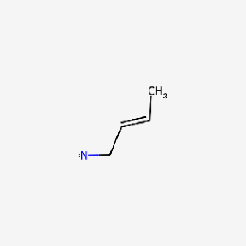 CC=CC[N]